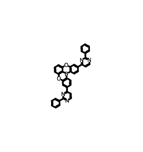 c1ccc(-c2nccc(-c3ccc4c(c3)Oc3cccc5c3B4c3ccc(-c4ccnc(-c6ccccc6)n4)cc3O5)n2)cc1